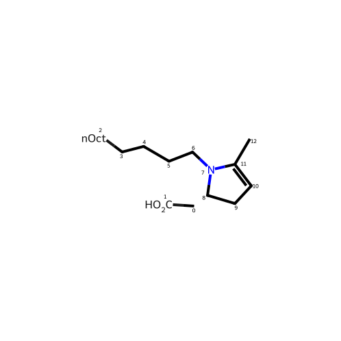 CC(=O)O.CCCCCCCCCCCCN1CCC=C1C